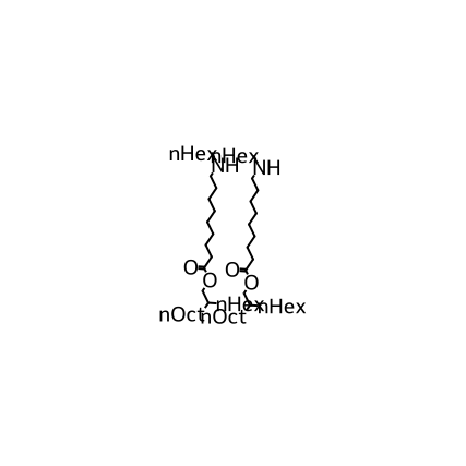 CCCCCCCCC(CCCCCC)COC(=O)CCCCCCCCNCCCCCC.CCCCCCCCC(CCCCCC)COC(=O)CCCCCCCCNCCCCCC